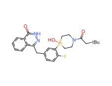 CC(C)(C)CC(=O)N1CC[P](O)(c2cc(Cc3n[nH]c(=O)c4ccccc34)ccc2F)CC1